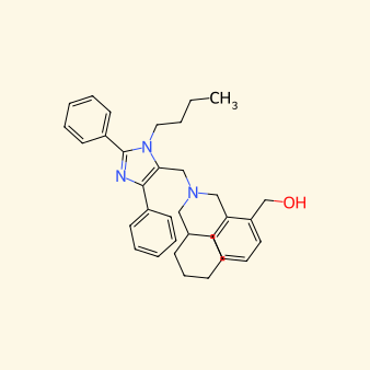 CCCCn1c(-c2ccccc2)nc(-c2ccccc2)c1CN(Cc1ccccc1CO)CC1CCCCC1